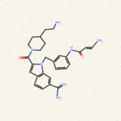 N=C(N)c1ccc2cc(C(=O)N3CCC(CCN)CC3)n(Cc3cccc(NC(=O)/C=C/N)c3)c2c1